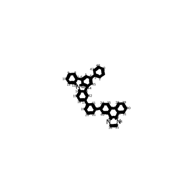 c1ccc(-c2cc3c4ccccc4n4c5ccc(-c6cccc(-c7ccc8c9ccccc9c9nccnc9c8c7)c6)cc5c(c2)c34)cc1